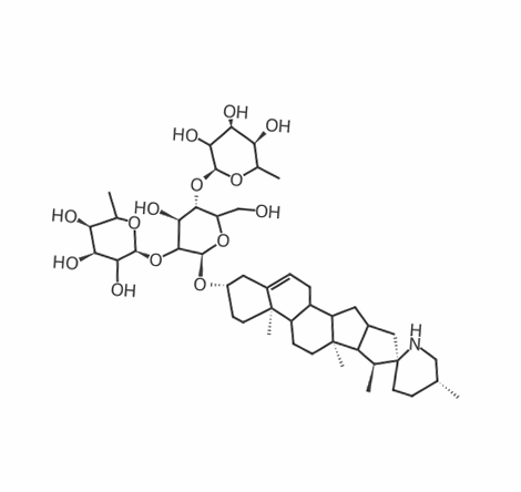 CC1O[C@@H](OC2[C@H](O[C@H]3CC[C@@]4(C)C(=CCC5C6CC7C[C@]8(CC[C@@H](C)CN8)[C@@H](C)C7[C@@]6(C)CCC54)C3)OC(CO)[C@@H](O[C@@H]3OC(C)[C@H](O)[C@H](O)C3O)[C@@H]2O)C(O)[C@@H](O)[C@H]1O